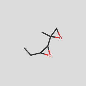 CCC1OC1C1(C)CO1